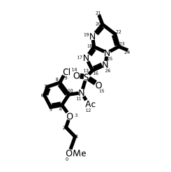 COCCOc1cccc(Cl)c1N(C(C)=O)S(=O)(=O)c1nc2nc(C)cc(C)n2n1